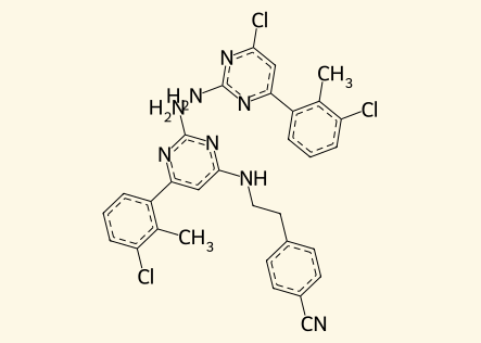 Cc1c(Cl)cccc1-c1cc(Cl)nc(N)n1.Cc1c(Cl)cccc1-c1cc(NCCc2ccc(C#N)cc2)nc(N)n1